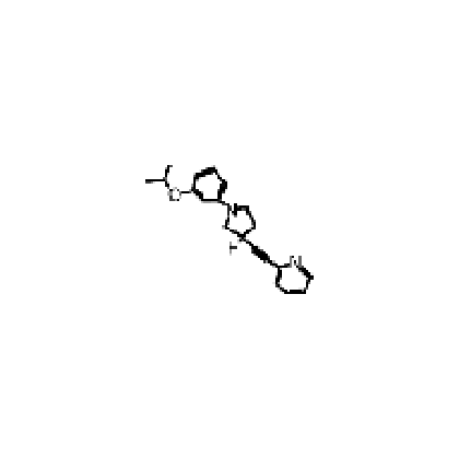 CC(C)Oc1cccc(N2CCC(F)(C#Cc3ccccn3)C2)c1